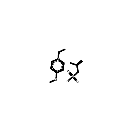 C=C(C)CS(=O)(=O)[O-].CC[n+]1ccc(OC)cc1